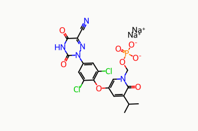 CC(C)c1cc(Oc2c(Cl)cc(-n3nc(C#N)c(=O)[nH]c3=O)cc2Cl)cn(COP(=O)([O-])[O-])c1=O.[Na+].[Na+]